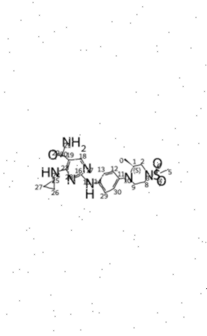 C[C@H]1CN(S(C)(=O)=O)CCN1c1ccc(Nc2ncc(C(N)=O)c(NC3CC3)n2)cc1